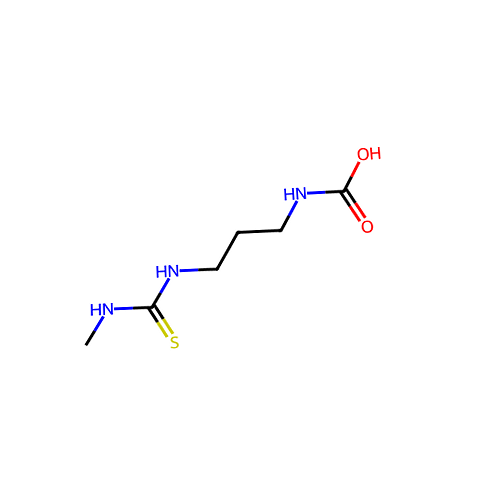 CNC(=S)NCCCNC(=O)O